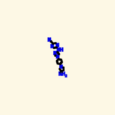 N#Cc1cnc(Nc2cn(-c3ccc(N4CC[C@@H](N)C4)cc3)cn2)cn1